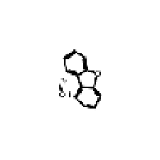 CC(C)O.c1ccc2c(c1)oc1ccccc12